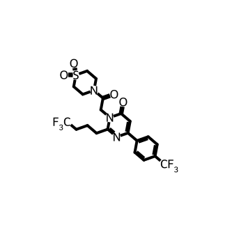 O=C(Cn1c(CCCC(F)(F)F)nc(-c2ccc(C(F)(F)F)cc2)cc1=O)N1CCS(=O)(=O)CC1